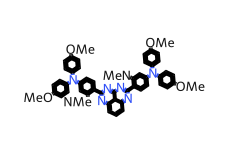 CNc1cc(N(c2ccc(OC)cc2)c2ccc(OC)cc2)ccc1C1=NC2=CC=CC3=NC(c4ccc(N(c5ccc(OC)cc5)c5ccc(OC)cc5)cc4NC)=NC(=N1)C23